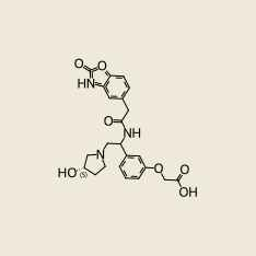 O=C(O)COc1cccc(C(CN2CC[C@H](O)C2)NC(=O)Cc2ccc3oc(=O)[nH]c3c2)c1